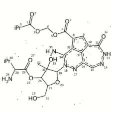 CC(C)C(=O)OCOC(=O)c1cc2c(=O)[nH]ncc3nn(C4OC(CO)C(OC(=O)C(N)C(C)C)C4(C)O)c(N)c1c32